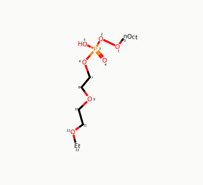 CCCCCCCCOOP(=O)(O)OCCOCCOCC